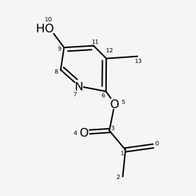 C=C(C)C(=O)Oc1ncc(O)cc1C